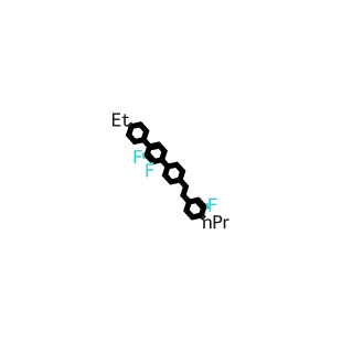 CCCC1CCC(CCC2CCC(C3CC=C(C4CCC(CC)CC4)C(F)=C3F)CC2)C=C1F